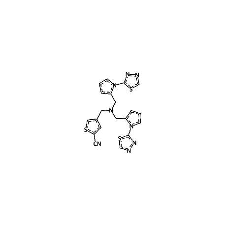 N#Cc1cc(CN(Cc2cccn2-c2nncs2)Cc2cccn2-c2nncs2)cs1